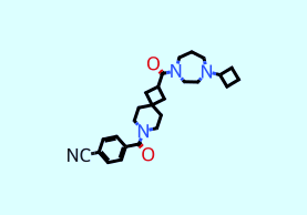 N#Cc1ccc(C(=O)N2CCC3(CC2)CC(C(=O)N2CCCN(C4CCC4)CC2)C3)cc1